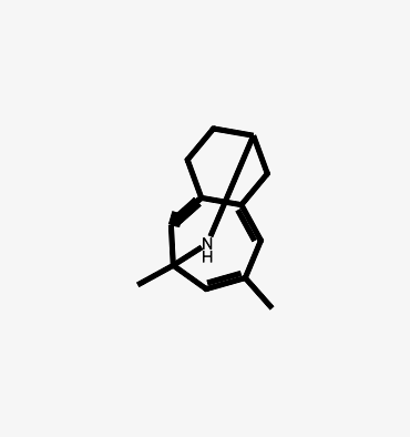 CC1=CC2(C)NC3CCC4(CC=CC=C24)C(=C1)C3